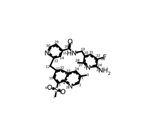 Cc1cnc2c(S(C)(=O)=O)cc(Cc3cc(C(=O)NCc4cc(F)c(N)nc4C)ccn3)cc2c1